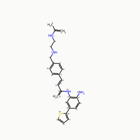 C=C(C)NCCNCc1ccc(/C=C/C(=C)Nc2cc(-c3cccs3)ccc2N)cc1